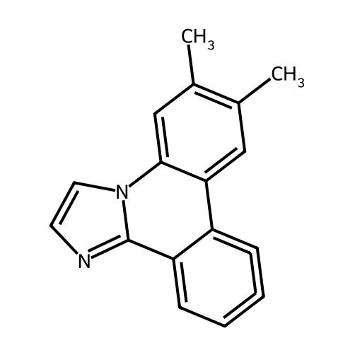 Cc1cc2c3c(c4nccn4c2cc1C)=CC=C=C=3